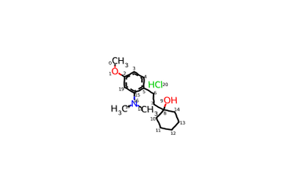 COc1ccc(CCC2(O)CCCCC2)c(N(C)C)c1.Cl